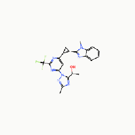 Cc1nc([C@H](C)O)n(-c2cc(C3C[C@H]3c3nc4ccccc4n3C)nc(C(F)(F)F)n2)n1